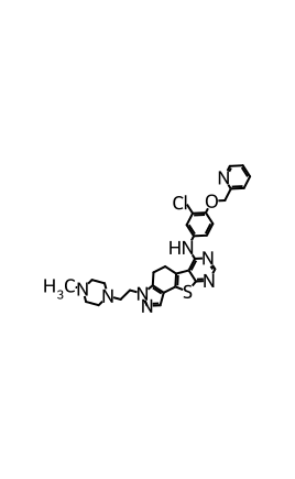 CN1CCN(CCn2ncc3c2CCc2c-3sc3ncnc(Nc4ccc(OCc5ccccn5)c(Cl)c4)c23)CC1